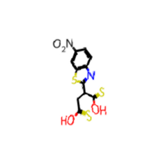 O=[N+]([O-])c1ccc2nc(C(CC(O)=S)C(O)=S)sc2c1